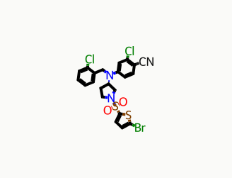 N#Cc1ccc(N(Cc2ccccc2Cl)[C@H]2CCN(S(=O)(=O)c3ccc(Br)s3)C2)cc1Cl